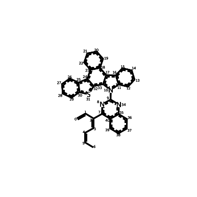 C=C/C(=C\C=C/C)c1nc(-n2c3ccccc3c3c4ccccc4c4c5ccccc5sc4c32)nc2ccccc12